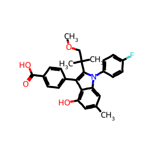 COCC(C)(C)c1c(-c2ccc(C(=O)O)cc2)c2c(O)cc(C)cc2n1-c1ccc(F)cc1